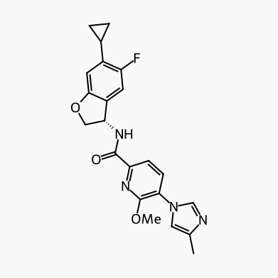 COc1nc(C(=O)N[C@@H]2COc3cc(C4CC4)c(F)cc32)ccc1-n1cnc(C)c1